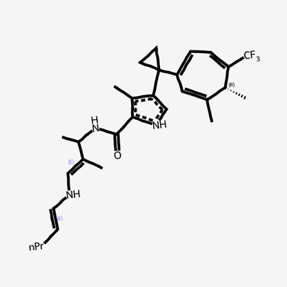 CCC/C=C/N/C=C(\C)C(C)NC(=O)c1[nH]cc(C2(C3=CC=C(C(F)(F)F)[C@H](C)C(C)=C3)CC2)c1C